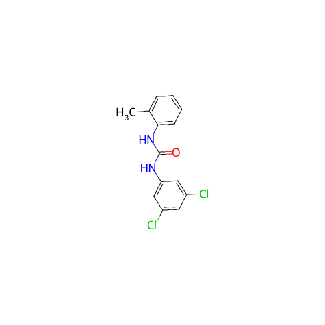 Cc1ccccc1NC(=O)Nc1cc(Cl)cc(Cl)c1